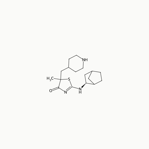 CC1(CC2CCNCC2)SC(N[C@H]2CC3CCC2C3)=NC1=O